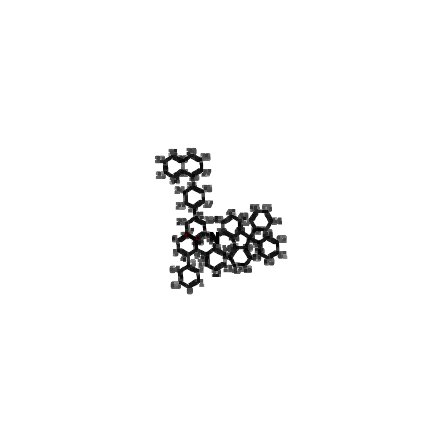 c1ccc(-c2ccccc2-c2ccccc2N(c2cccc(-c3ccc(-c4cccc5ccccc45)cc3)c2)c2cccc3c2-c2ccccc2C3(c2ccccc2)c2ccccc2)cc1